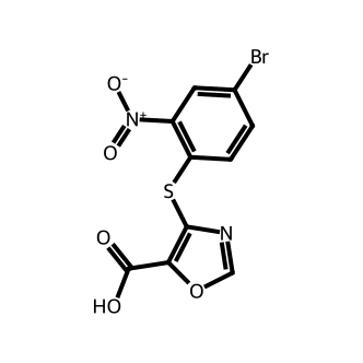 O=C(O)c1ocnc1Sc1ccc(Br)cc1[N+](=O)[O-]